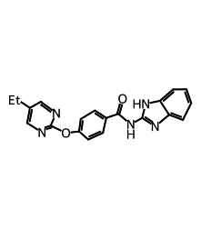 CCc1cnc(Oc2ccc(C(=O)Nc3nc4ccccc4[nH]3)cc2)nc1